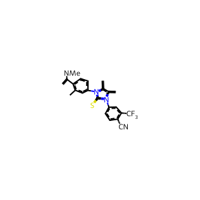 C=C(NC)c1ccc(-n2c(=C)c(=C)n(-c3ccc(C#N)c(C(F)(F)F)c3)c2=S)cc1C